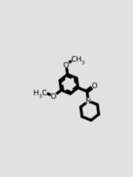 COc1cc(OC)cc(C(=O)N2CCCCC2)c1